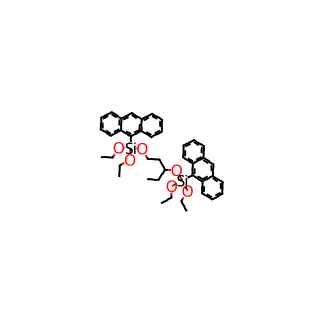 CCO[Si](OCC)(OCCC(CC)O[Si](OCC)(OCC)c1c2ccccc2cc2ccccc12)c1c2ccccc2cc2ccccc12